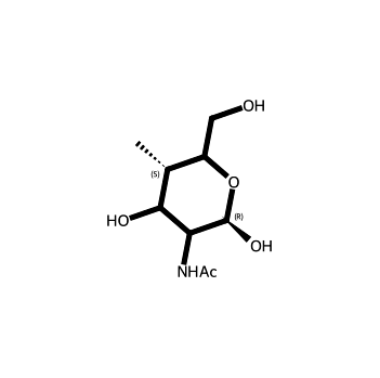 CC(=O)NC1C(O)[C@H](C)C(CO)O[C@H]1O